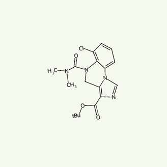 CN(C)C(=O)N1Cc2c(C(=O)OC(C)(C)C)ncn2-c2cccc(Cl)c21